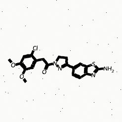 COc1cc(Cl)c(CC(=O)N2CCC(c3ccc4nc(N)sc4c3)=N2)cc1OC